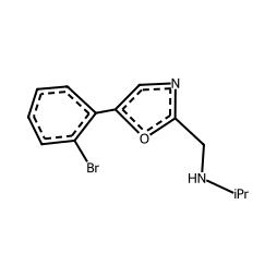 CC(C)NCc1ncc(-c2ccccc2Br)o1